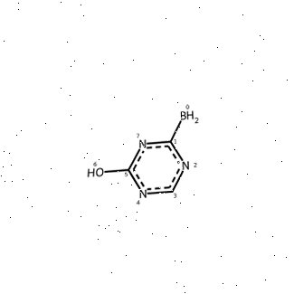 Bc1ncnc(O)n1